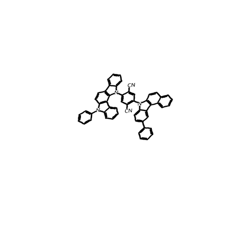 N#Cc1cc(-n2c3ccccc3c3ccc4c(c5ccccc5n4-c4ccccc4)c32)c(C#N)cc1-n1c2ccc(-c3ccccc3)cc2c2c3ccccc3ccc21